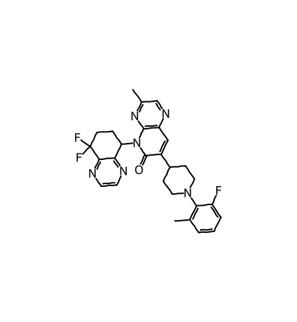 Cc1cnc2cc(C3CCN(c4c(C)cccc4F)CC3)c(=O)n(C3CCC(F)(F)c4nccnc43)c2n1